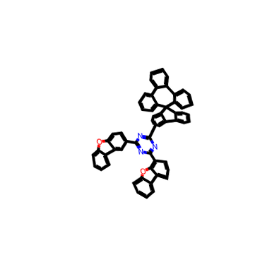 c1ccc2c(c1)-c1ccccc1C1(c3ccccc3-2)c2ccccc2-c2cc(-c3nc(-c4ccc5oc6ccccc6c5c4)nc(-c4cccc5c4oc4ccccc45)n3)ccc21